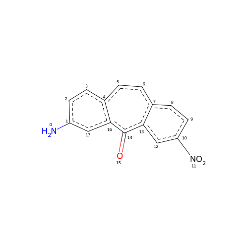 Nc1ccc2ccc3ccc([N+](=O)[O-])cc3c(=O)c2c1